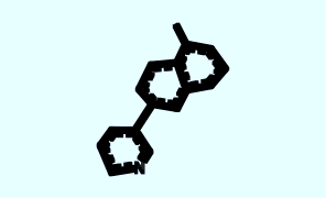 Cc1cccc2cc(-c3cccnc3)ccc12